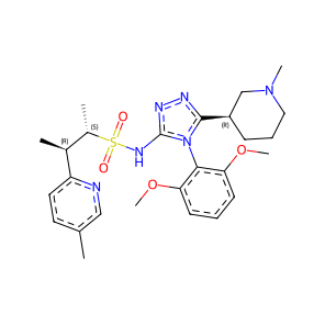 COc1cccc(OC)c1-n1c(NS(=O)(=O)[C@@H](C)[C@H](C)c2ccc(C)cn2)nnc1[C@@H]1CCCN(C)C1